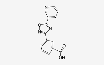 O=C(O)c1cccc(-c2noc(-c3cccnc3)n2)c1